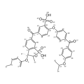 C=C(/C=C\CC)O[C@](C)(CC)c1ccc(C(=O)c2ccc(Oc3ccc(C(=O)c4ccc(OC(C)C)cc4)cc3)c(S(=O)(=O)O)c2)cc1S(=O)(=O)O